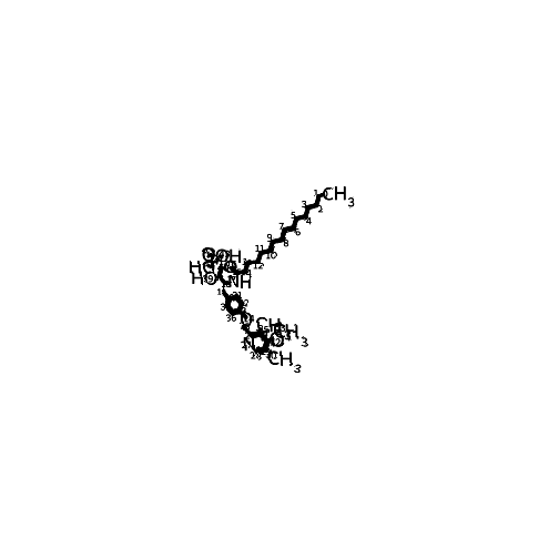 CCCCCCCCCCCCCCCC(=O)N[C@H](Cc1ccc(OCc2ncc(C)c(OC)c2C)cc1)[C@H](O)CP(=O)(O)O